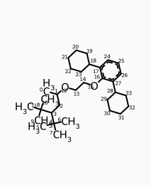 CC(CC(C(C)(C)C)C(C)(C)C)OCCOc1c(C2CCCCC2)cccc1C1CCCCC1